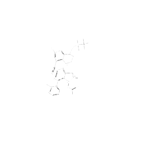 CC(=O)O[C@H]1c2c(-c3cccnc3C)ncc([C@H]3CCC(O[Si](C)(C)C(C)(C)C)c4cc(F)cc(C#N)c43)c2C[C@H]1F